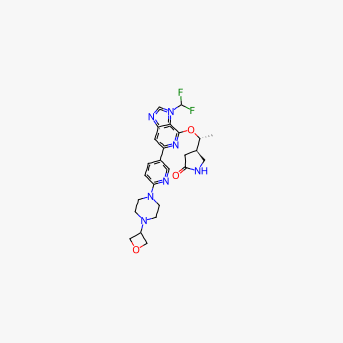 C[C@@H](Oc1nc(-c2ccc(N3CCN(C4COC4)CC3)nc2)cc2ncn(C(F)F)c12)[C@H]1CNC(=O)C1